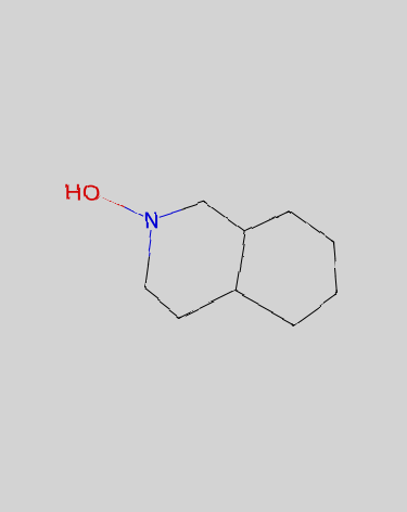 ON1CCC2CCCCC2C1